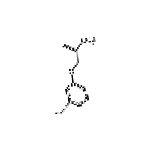 C=C(COc1cccc(Cl)c1)C(=O)O